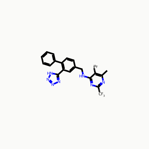 Cc1nc(C(F)(F)F)nc(NCc2ccc(-c3ccccc3)c(-c3nnn[nH]3)c2)c1C(C)C